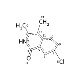 Cc1[nH]c(=O)c2cc(Cl)ccc2c1C